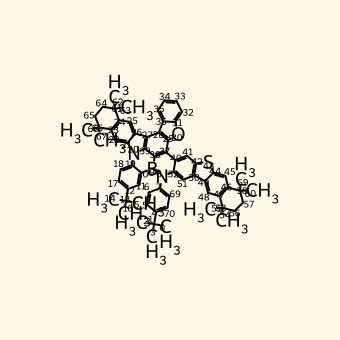 CC(C)(C)c1ccc(N2B3c4cc(C(C)(C)C)ccc4-n4c5cc6c(cc5c5c7c(oc8ccccc87)c(c3c54)-c3cc4sc5cc7c(cc5c4cc32)C(C)(C)CCC7(C)C)C(C)(C)CCC6(C)C)cc1